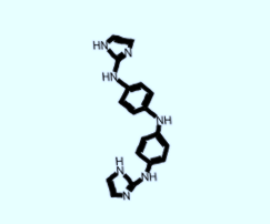 c1c[nH]c(Nc2ccc(Nc3ccc(Nc4ncc[nH]4)cc3)cc2)n1